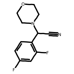 N#CC(c1ccc(F)cc1F)N1CCOCC1